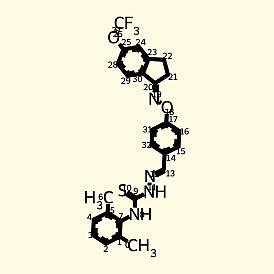 Cc1cccc(C)c1NC(=S)NN=Cc1ccc(ON=C2CCc3cc(OC(F)(F)F)ccc32)cc1